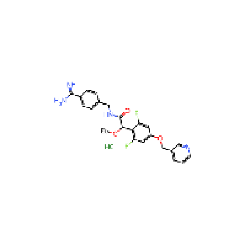 CCOC(C(=O)NCc1ccc(C(=N)N)cc1)c1c(F)cc(OCc2cccnc2)cc1F.Cl